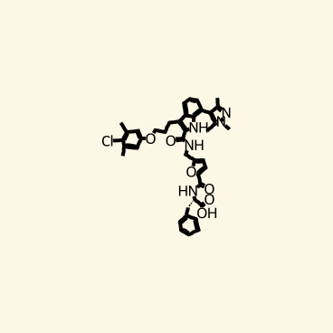 Cc1cc(OCCCc2c(C(=O)NCc3ccc(C(=O)N[C@@H](Cc4ccccc4)C(=O)O)o3)[nH]c3c(-c4c(C)nn(C)c4C)cccc23)cc(C)c1Cl